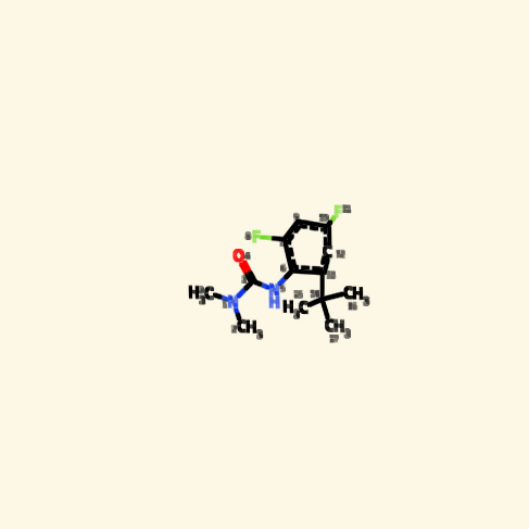 CN(C)C(=O)Nc1c(F)cc(F)cc1C(C)(C)C